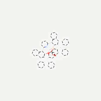 COCOc1c([Si](c2ccccc2)(c2ccccc2)c2ccccc2)cc2ccccc2c1-c1cccc(-c2c(OCOC)c([Si](c3ccccc3)(c3ccccc3)c3ccccc3)cc3ccccc23)n1